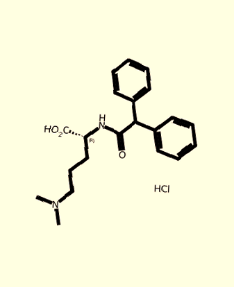 CN(C)CCC[C@@H](NC(=O)C(c1ccccc1)c1ccccc1)C(=O)O.Cl